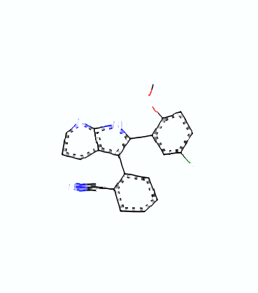 COc1ccc(F)cc1-c1[nH]c2ncccc2c1-c1ccccc1C#N